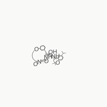 CC(C)c1ccc2c(c1)[C@@H](NC[C@@H](O)[C@@H]1Cc3cccc(c3)OCCCCCC(=O)N(C)[C@@H](C)C(=O)N1)CC(C)(C)O2